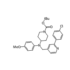 COc1ccc(N(Cc2ccnc(-c3ccc(Cl)cc3)c2)C2CCN(C(=O)OC(C)(C)C)CC2)cc1